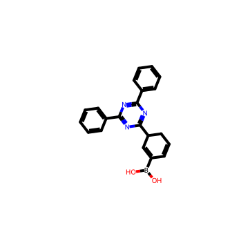 OB(O)C1=CC(c2nc(-c3ccccc3)nc(-c3ccccc3)n2)CC=C1